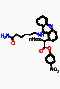 CCCCCCC(C(=O)Oc1ccc([N+](=O)[O-])cc1)c1cccc2nc3ccccc3c(NCCCCCC(N)=O)c12